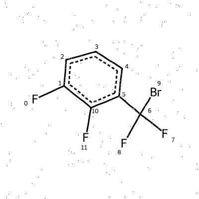 Fc1cccc(C(F)(F)Br)c1F